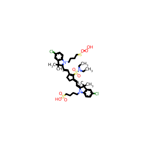 CCN(CC)S(=O)(=O)C1=C(/C=C/C2=[N+](CCCCSOOO)c3ccc(Cl)cc3C2(C)C)CC/C1=C\C=C1\N(CCCCS(=O)(=O)O)c2ccc(Cl)cc2C1(C)C